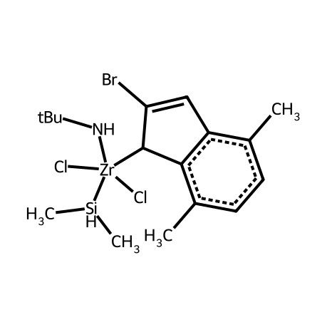 Cc1ccc(C)c2c1C=C(Br)[CH]2[Zr]([Cl])([Cl])([NH]C(C)(C)C)[SiH](C)C